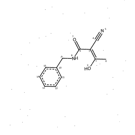 CC(O)=C(C#N)C(=O)NCc1ccccc1